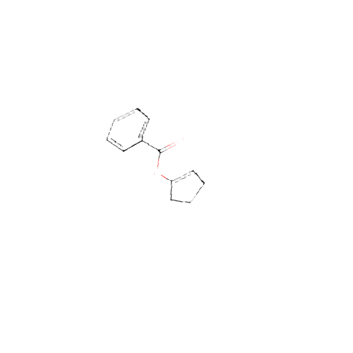 O=C(OC1=CCCC1)c1ccccc1